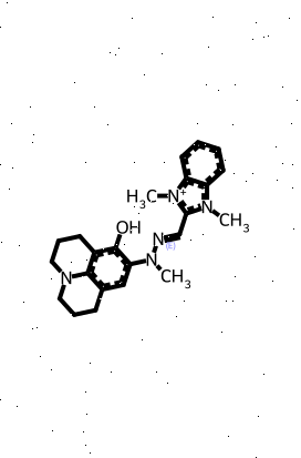 CN(/N=C/c1n(C)c2ccccc2[n+]1C)c1cc2c3c(c1O)CCCN3CCC2